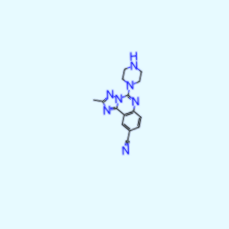 Cc1nc2c3cc(C#N)ccc3nc(N3CCNCC3)n2n1